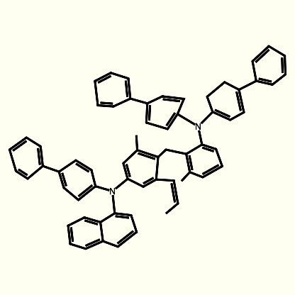 C/C=C\c1cc(N(c2ccc(-c3ccccc3)cc2)c2cccc3ccccc23)cc(C)c1Cc1c(C)cccc1N(C1=CC=C(c2ccccc2)CC1)c1ccc(-c2ccccc2)cc1